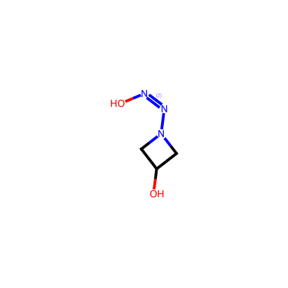 O/N=N\N1CC(O)C1